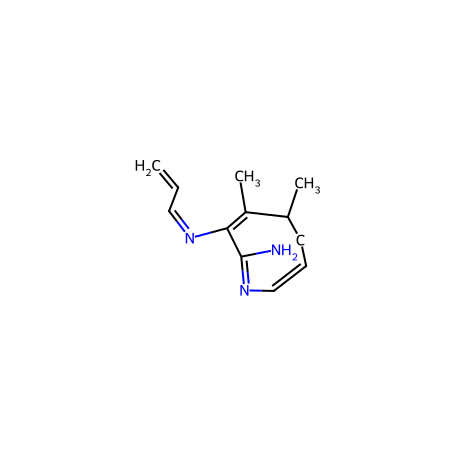 C=C\C=N/C1=C(\C)C(C)C/C=C\N=C\1N